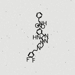 O=S(=O)(NCc1ccccc1)c1ccc2[nH]c3c(N4CCN(CCc5ccc(F)c(F)c5)CC4)ncnc3c2c1